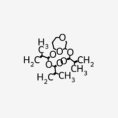 C=C(C)C(=O)OC(=O)C(=C)C.C=C(C)C(=O)OC1COCCCO1